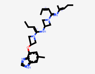 C\C=C/C(=N\C(C)=C\CC)N1CC(N/C(=C/CC)N2CC(Oc3cc(C)cc4[nH]cnc34)C2)C1